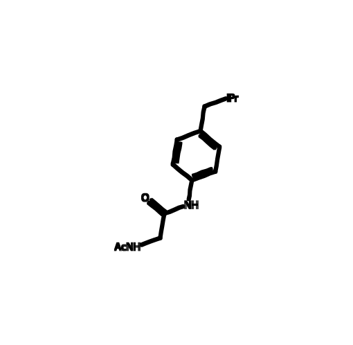 CC(=O)NCC(=O)Nc1ccc(CC(C)C)cc1